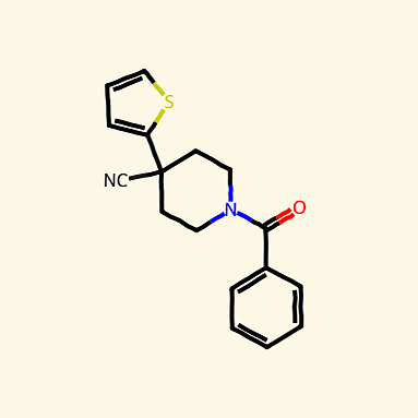 N#CC1(c2cccs2)CCN(C(=O)c2ccccc2)CC1